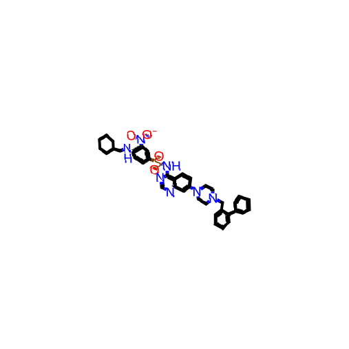 O=[N+]([O-])c1cc(S(=O)(=O)Nc2ncnc3cc(N4CCN(Cc5ccccc5-c5ccccc5)CC4)ccc23)ccc1NCC1CCCCC1